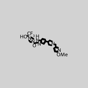 COc1ccc(CN2CCC(c3ccc4[nH]c(C(=O)N5CCN(C(O)C(F)(F)F)CC5)nc4c3)CC2)cn1